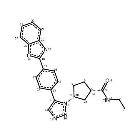 CCNC(=O)[C@H]1CC[C@@H](n2nncc2-c2ccc(-c3nc4ccccc4o3)cc2)C1